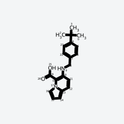 CC(C)(C)c1ccc(CNc2ccc3cccn3c2C(=O)O)cc1